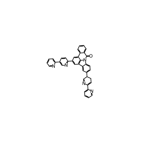 O=c1c2ccccc2c2cc(-c3ccc(-c4ccccn4)cn3)cc3c4cc(C5C=NC(c6ccccn6)=CC5)ccc4n1c23